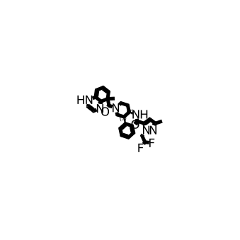 Cc1cc(C(=O)N[C@@H]2CCN(C(=O)C3(C)C=CC=C4NC=CN=C43)C[C@@H]2c2ccccc2)n(CC(F)F)n1